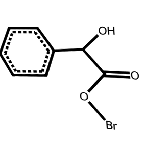 O=C(OBr)C(O)c1ccccc1